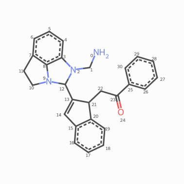 NCN1c2cccc3c2N(CC3)C1C1=Cc2ccccc2C1CC(=O)c1ccccc1